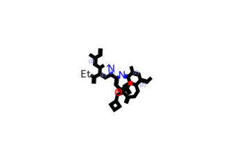 C=C/C(C)=C\C(C)/C(=C\C(=N/C)C1=CC(=O)C(=C)CC(/C(C)=C\C(=C/C)C2CCC(=C)C(CC3CCC3)CC2)=N1)C(=C)CC